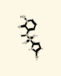 CN(c1cccn(O)c1=O)S(=O)(=O)c1ccc(Br)s1